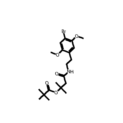 COc1cc(CCNC(=O)CC(C)(C)OC(=O)C(C)(C)C)c(OC)cc1Br